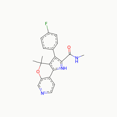 CNC(=O)c1[nH]c2c(c1-c1ccc(F)cc1)C(C)(C)Oc1cnccc1-2